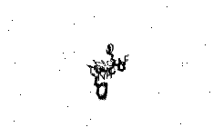 CNC[C@H](CC1CCCCC1)NC(=O)N1CCC[C@@H]([C@](O)(CCCCOC)c2cccc(F)c2C)C1